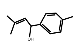 CC(C)=CC(O)c1ccc(C)cc1